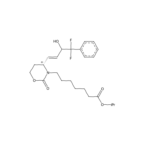 CC(C)OC(=O)CCCCCCN1C(=O)OCC[C@@H]1C=CC(O)C(F)(F)c1ccccc1